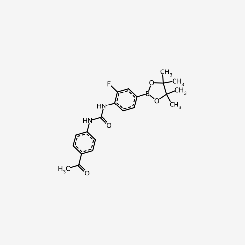 CC(=O)c1ccc(NC(=O)Nc2ccc(B3OC(C)(C)C(C)(C)O3)cc2F)cc1